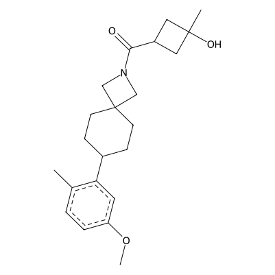 COc1ccc(C)c(C2CCC3(CC2)CN(C(=O)C2CC(C)(O)C2)C3)c1